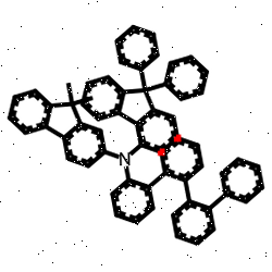 CC1(C)c2ccccc2-c2ccc(N(c3ccccc3-c3ccccc3-c3ccccc3-c3ccccc3)c3cccc4c3-c3ccccc3C4(c3ccccc3)c3ccccc3)cc21